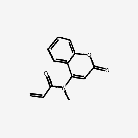 C=CC(=O)N(C)c1cc(=O)oc2ccccc12